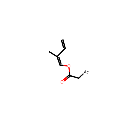 C=CC(C)=COC(=O)CC(C)=O